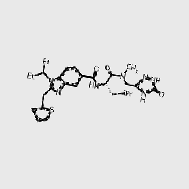 CCC(CC)n1c(Cc2cccs2)nc2cc(C(=O)N[C@@H](CC(C)C)C(=O)N(C)Cc3n[nH]c(=O)[nH]3)ccc21